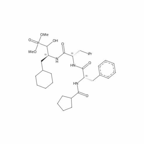 COP(=O)(OC)C(O)[C@H](CC1CCCCC1)NC(=O)[C@H](CC(C)C)NC(=O)[C@H](Cc1ccccc1)NC(=O)C1CCCC1